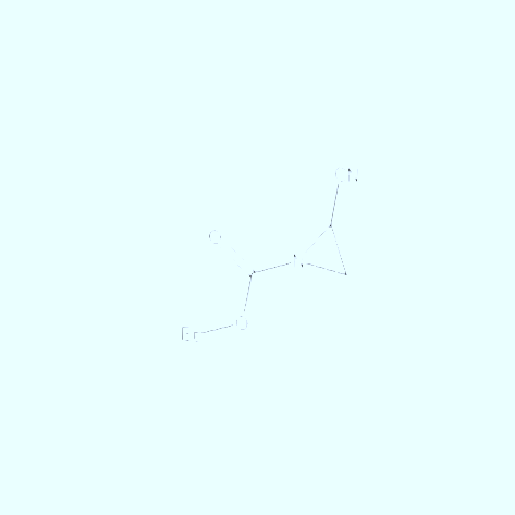 CCOC(=O)N1CC1C#N